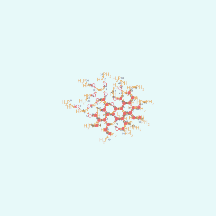 PPOPP(OPP)OP(OP(OP(OPP)P(OPP)OPP)P(OP(OP(OPP)P(OPP)OPP)P(OP(OPP)P(OPP)OPP)OP(OPP)P(OPP)OPP)OP(OP(OPP)P(OPP)OPP)P(OP(OPP)P(OPP)OPP)OP(OPP)P(OPP)OPP)P(OPP)OPP